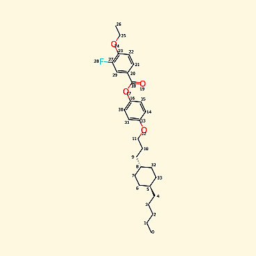 CCCCC[C@H]1CC[C@H](CCCOc2ccc(OC(=O)c3ccc(OCC)c(F)c3)cc2)CC1